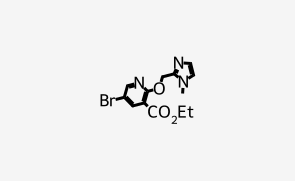 CCOC(=O)c1cc(Br)cnc1OCc1nccn1C